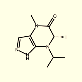 CC(C)N1c2[nH]ncc2N(C)C(=O)[C@@H]1I